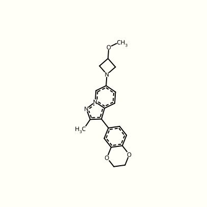 COC1CN(c2ccc3c(-c4ccc5c(c4)OCCO5)c(C)nn3c2)C1